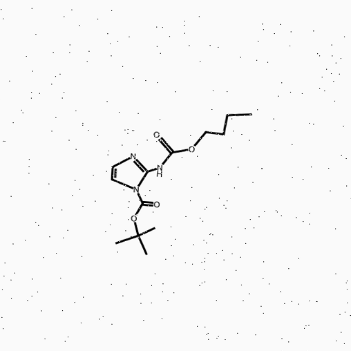 CCCCOC(=O)Nc1nccn1C(=O)OC(C)(C)C